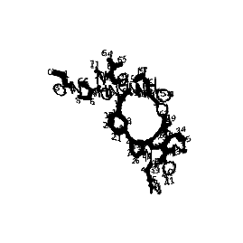 C=CC(=O)N1CC[C@H](C(=O)N(C)C(C(=O)N[C@H]2Cc3cccc(c3)-c3ccc4c(c3)c(c(-c3cccnc3[C@H](C)OC)n4CCC#N)CC(C)(C)COC(=O)[C@@H]3CCCN(N3)C2=O)C(C)C)C1